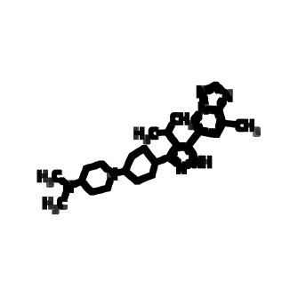 Cc1cc(-c2[nH]nc(C3CCC(N4CCC(N(C)C)CC4)CC3)c2C(C)C)cn2ncnc12